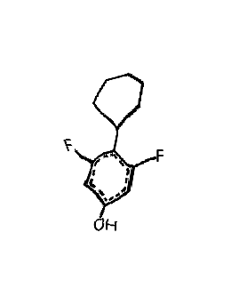 Oc1cc(F)c(C2CCCCC2)c(F)c1